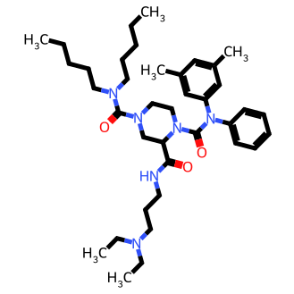 CCCCCN(CCCCC)C(=O)N1CCN(C(=O)N(c2ccccc2)c2cc(C)cc(C)c2)C(C(=O)NCCCN(CC)CC)C1